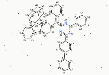 c1ccc(-c2ccc(-c3nc(-c4ccccc4)nc(-c4c5ccccc5cc5c6c(ccc45)-c4ccccc4C64C5CC6CC(C5)CC4C6)n3)cc2)cc1